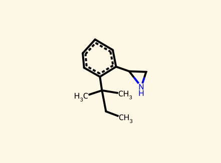 CCC(C)(C)c1ccccc1C1CN1